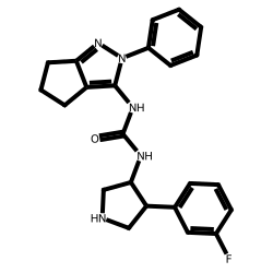 O=C(Nc1c2c(nn1-c1ccccc1)CCC2)NC1CNCC1c1cccc(F)c1